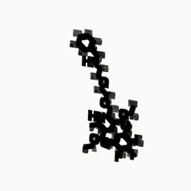 CCOC(=O)C1=C(C)NC(COCCOCCNCc2ccccc2)=C(C(=O)OCC)[C@@H]1c1c(F)c(F)c(F)c(F)c1F